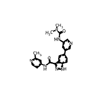 Cc1cc(NC(=O)c2n[nH]c3ccc(-c4cncc(NC(=O)N(C)C)c4)cc23)ccn1